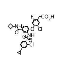 O=C(O)Cc1cc(Cl)c(Oc2ccc(C(=O)NC3CCC3)cc2NS(=O)(=O)c2ccc(C3CC3)cc2Cl)cc1F